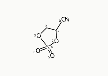 N#CC1COS(=O)(=O)O1